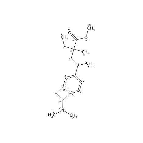 CCC(C)(CC(C)c1ccc2c(c1)CC2N(C)C)C(=O)OC